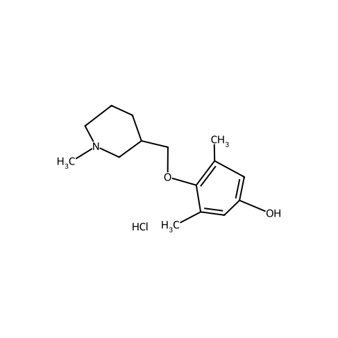 Cc1cc(O)cc(C)c1OCC1CCCN(C)C1.Cl